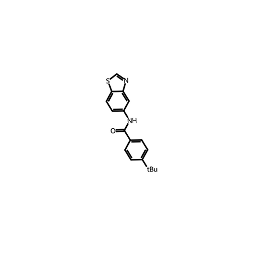 CC(C)(C)c1ccc(C(=O)Nc2ccc3scnc3c2)cc1